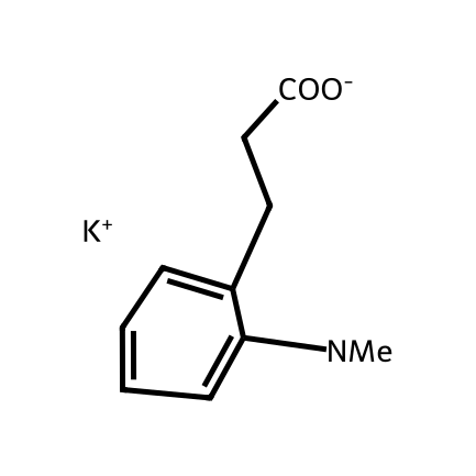 CNc1ccccc1CCC(=O)[O-].[K+]